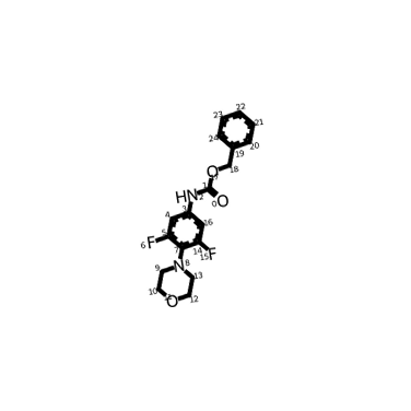 O=C(Nc1cc(F)c(N2CCOCC2)c(F)c1)OCc1ccccc1